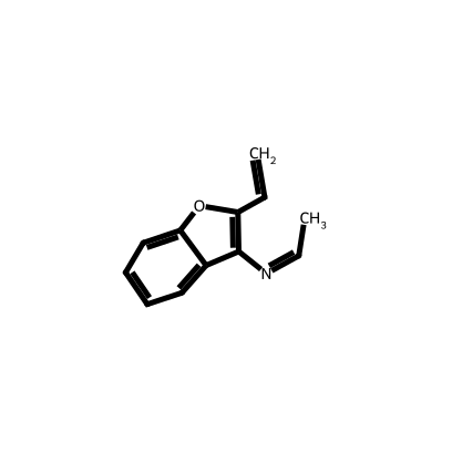 C=Cc1oc2ccccc2c1/N=C\C